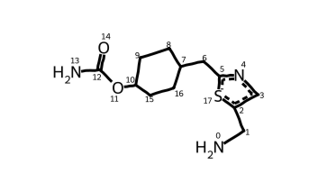 NCc1cnc(CC2CCC(OC(N)=O)CC2)s1